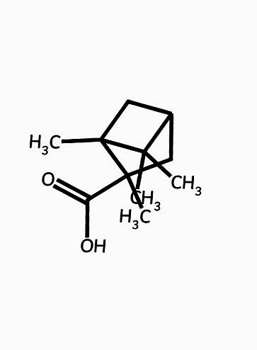 CC1(C(=O)O)CC2CC1(C)C2(C)C